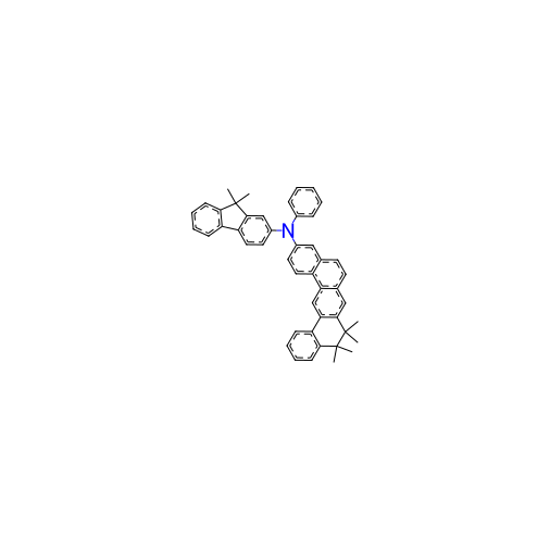 CC1(C)c2ccccc2-c2ccc(N(c3ccccc3)c3ccc4c(ccc5cc6c(cc54)-c4ccccc4C(C)(C)C6(C)C)c3)cc21